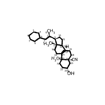 C[C@H](CC1CCCCC1)[C@H]1CC[C@H]2C3=C(CC[C@]12C)[C@@]1(C)CC[C@@H](O)C[C@]1(C#N)CC3